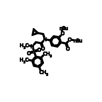 CCCCOC(=O)c1ccc(N(CC2CC2)C(=O)CN(C)S(=O)(=O)c2c(C)cc(C)cc2C)cc1OCCCC